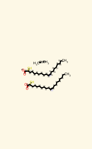 CCCCCCCC/C=C\CCCCCCCCC(S)C(=O)[O-].CCCCCCCC/C=C\CCCCCCCCC(S)C(=O)[O-].[CH3][Sn+2][CH3]